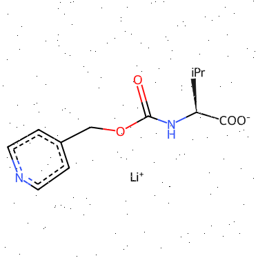 CC(C)[C@H](NC(=O)OCc1ccncc1)C(=O)[O-].[Li+]